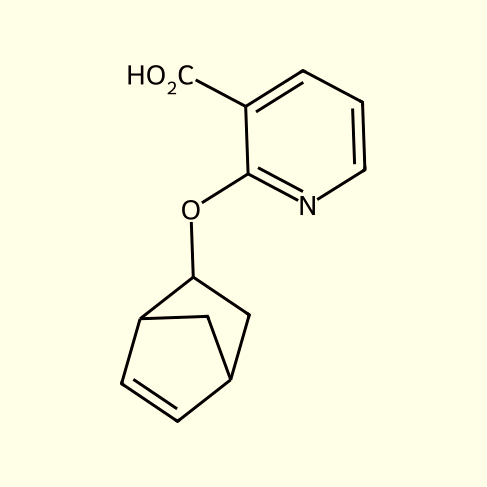 O=C(O)c1cccnc1OC1CC2C=CC1C2